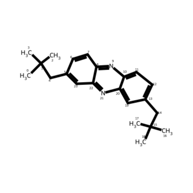 CC(C)(C)Cc1ccc2nc3ccc(CC(C)(C)C)cc3nc2c1